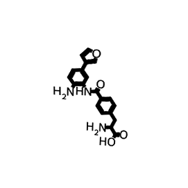 Nc1ccc(-c2ccoc2)cc1NC(=O)c1ccc(CC(N)C(=O)O)cc1